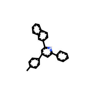 Cc1ccc(-c2cc(-c3ccccc3)nc(-c3ccc4ccccc4c3)c2)cc1